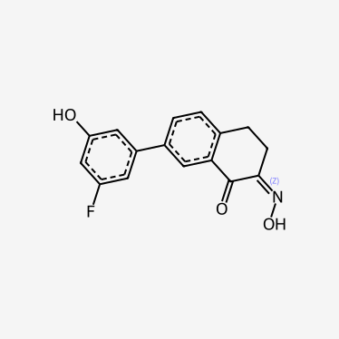 O=C1/C(=N\O)CCc2ccc(-c3cc(O)cc(F)c3)cc21